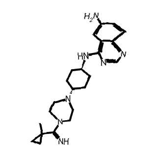 CC1(C(=N)N2CCN([C@H]3CC[C@H](Nc4ncnc5ccc(N)cc45)CC3)CC2)CC1